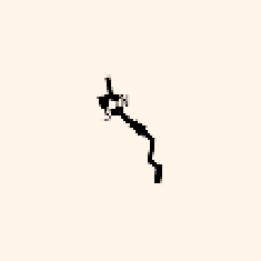 CCCCC#Cc1nc(C)cs1